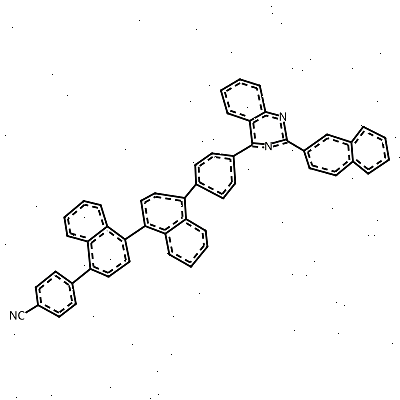 N#Cc1ccc(-c2ccc(-c3ccc(-c4ccc(-c5nc(-c6ccc7ccccc7c6)nc6ccccc56)cc4)c4ccccc34)c3ccccc23)cc1